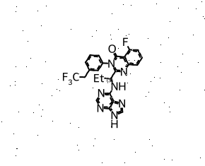 CC[C@H](Nc1ncnc2[nH]cnc12)c1nc2cccc(F)c2c(=O)n1-c1cccc(CC(F)(F)F)c1